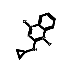 [O-][n+]1nc(NC2CC2)[n+]([O-])c2ccccc21